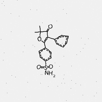 CC1(C)OC(c2ccc(S(N)(=O)=O)cc2)=C(c2ccccc2)C1=O